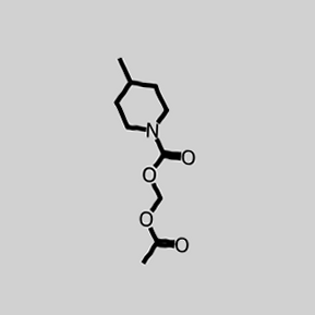 CC(=O)OCOC(=O)N1CCC(C)CC1